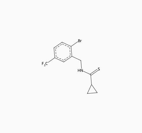 FC(F)(F)c1ccc(Br)c(CNC(=S)C2CC2)c1